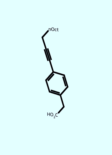 CCCCCCCCCC#Cc1ccc(CC(=O)O)cc1